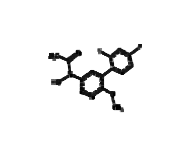 COc1ncc(N(O)C(C)=O)cc1-c1ccc(F)cc1F